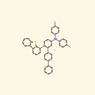 Cc1ccc(N(c2ccc(C)cc2)c2ccc(-c3cccc4c3sc3ccccc34)c(-c3ccc(-c4ccccc4)cc3)c2)cc1